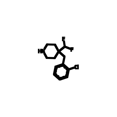 FC(F)C1(Cc2ccccc2Cl)CCNCC1